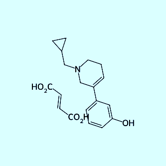 O=C(O)C=CC(=O)O.Oc1cccc(C2=CCCN(CC3CC3)C2)c1